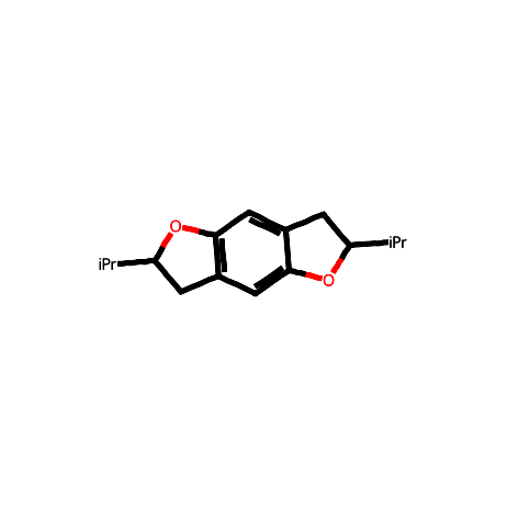 CC(C)C1Cc2cc3c(cc2O1)CC(C(C)C)O3